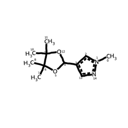 Cn1cc(C2OC(C)(C)C(C)(C)O2)cn1